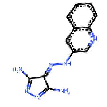 NC1=NN=C(N)C1=NNc1cnc2ccccc2c1